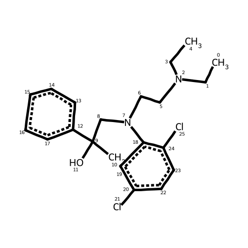 CCN(CC)CCN(CC(C)(O)c1ccccc1)c1cc(Cl)ccc1Cl